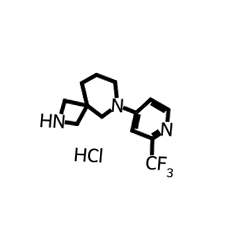 Cl.FC(F)(F)c1cc(N2CCCC3(CNC3)C2)ccn1